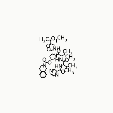 CCC[C@H](NC(=O)[C@@H]1C[C@@H](OC(=O)N2CCc3ccccc3C2)CN1C(=O)[C@@H](NC(=O)[C@@H](NC(=O)c1cnccn1)C(C)C)C(C)C)C(=O)C(C)=O